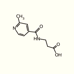 Cc1cc(C(=O)NCCC(=O)O)ccn1